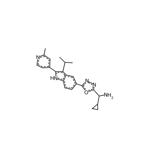 Cc1cc(-c2[nH]c3ccc(-c4nnc(C(N)C5CC5)o4)cc3c2C(C)C)ccn1